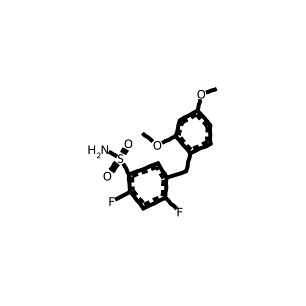 COc1ccc(Cc2cc(S(N)(=O)=O)c(F)cc2F)c(OC)c1